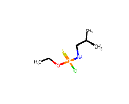 CCOP(=S)(Cl)NCC(C)C